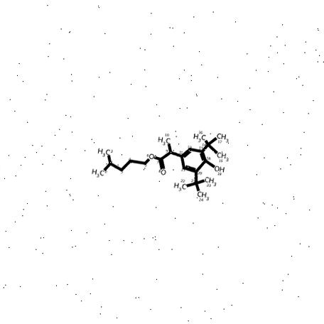 CC(C)CCCOC(=O)C(C)c1cc(C(C)(C)C)c(O)c(C(C)(C)C)c1